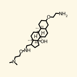 CN(C)CCONCC1CC[C@@]2(O)[C@@H]3CCC4CC(OCCN)CC[C@]4(C)[C@@H]3CC[C@]12C